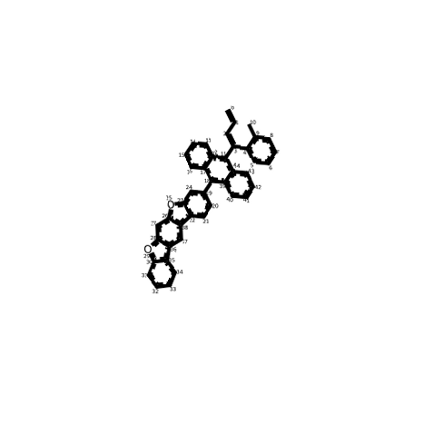 C=C/C=C(\c1ccccc1C)c1c2ccccc2c(-c2ccc3c(c2)oc2cc4oc5ccccc5c4cc23)c2ccccc12